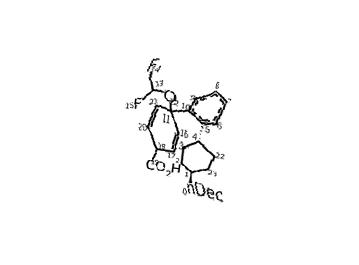 CCCCCCCCCC[C@H]1CC[C@H](c2ccccc2C2(OC(F)F)C=CC(C(=O)O)C=C2)CC1